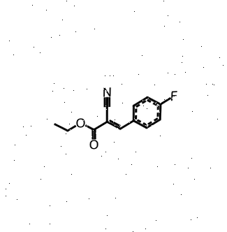 CCOC(=O)/C(C#N)=C/c1ccc(F)cc1